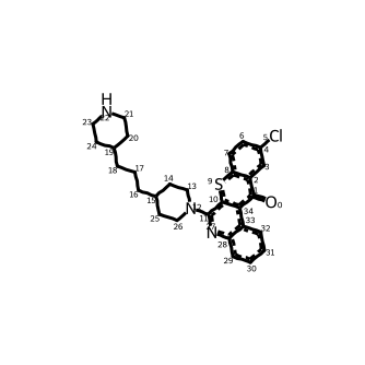 O=c1c2cc(Cl)ccc2sc2c(N3CCC(CCCC4CCNCC4)CC3)nc3ccccc3c12